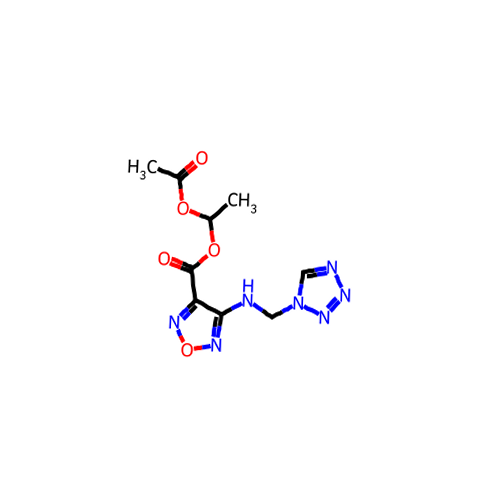 CC(=O)OC(C)OC(=O)c1nonc1NCn1cnnn1